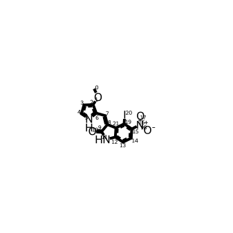 COc1cc[nH]c1C=C1C(=O)Nc2ccc([N+](=O)[O-])c(I)c21